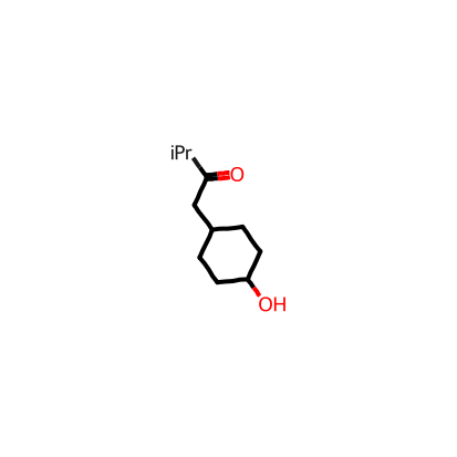 CC(C)C(=O)CC1CCC(O)CC1